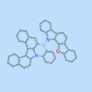 c1ccc2c(c1)B(n1c3ccccc3c3ccc4c5ccccc5oc4c31)c1cc3ccccc3c3c4c5ccccc5ccc4n-2c13